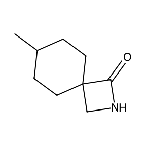 CC1CCC2(CC1)CNC2=O